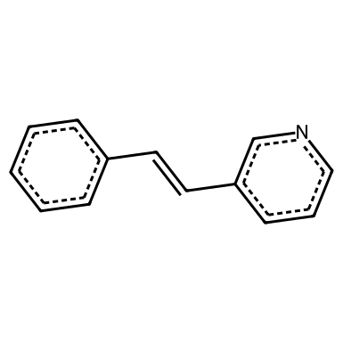 C(=Cc1cccnc1)c1ccccc1